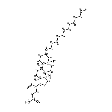 C=C[C@H](CCC(=O)O)C1CCC2[C@@H]3CC[C@@H]4C[C@@H](OCCOCCOCCOCCOC)CC[C@]4(C)C3CC[C@@]21C